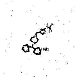 CCC(=O)Nc1nc(CN2CCN(C(c3ccccc3)c3ccccc3)CC2)cs1.Cl.Cl